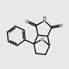 O=C1NC(=O)C2C1C1CCC2(c2ccccc2)O1